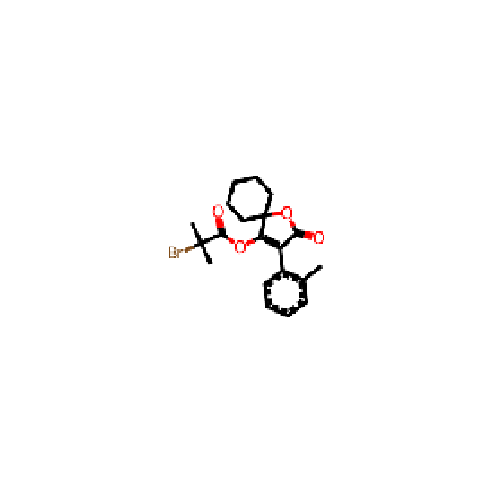 Cc1ccccc1C1=C(OC(=O)C(C)(C)Br)C2(CCCCC2)OC1=O